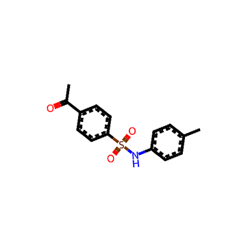 CC(=O)c1ccc(S(=O)(=O)Nc2ccc(C)cc2)cc1